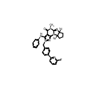 [2H]C12CCCC1([2H])N1C(=N2)N(C)C(=O)c2c1nn(Cc1ccc(-c3cccc(F)n3)cc1)c2Nc1ccccc1